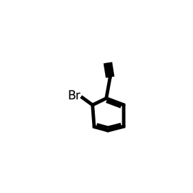 C#CC1=CC=C=CC1Br